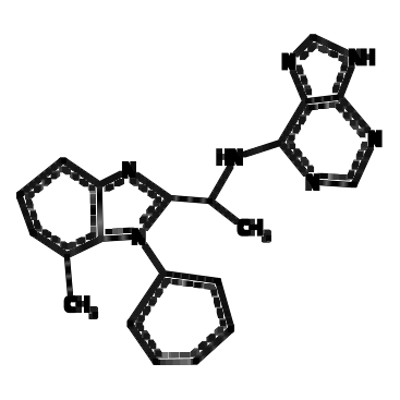 Cc1cccc2nc(C(C)Nc3ncnc4[nH]cnc34)n(-c3ccccc3)c12